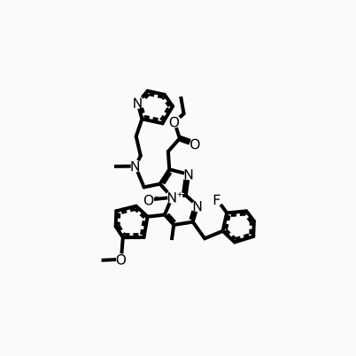 CCOC(=O)CC1=C(CN(C)CCc2ccccn2)[N+]2([O-])C(=N1)N=C(Cc1ccccc1F)C(C)=C2c1cccc(OC)c1